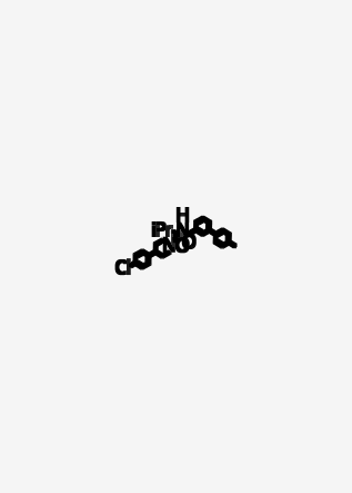 Cc1ccc(-c2cccc(C(=O)N[C@@H](C(=O)N3CCC(c4ccc(Cl)cc4)CC3)C(C)C)c2)cc1